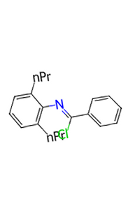 CCCc1cccc(CCC)c1/N=C(\Cl)c1ccccc1